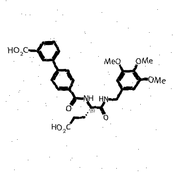 COc1cc(CNC(=O)[C@H](CCC(=O)O)NC(=O)c2ccc(-c3cccc(C(=O)O)c3)cc2)cc(OC)c1OC